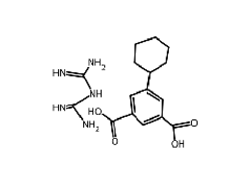 N=C(N)NC(=N)N.O=C(O)c1cc(C(=O)O)cc(C2CCCCC2)c1